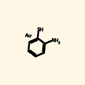 Nc1ccccc1S.[Au]